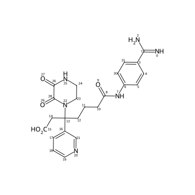 N=C(N)c1ccc(NC(=O)CCCC(CC(=O)O)(c2cccnc2)N2CCNC(=O)C2=O)cc1